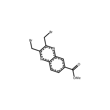 COC(=O)c1ccc2nc(CBr)c(CBr)nc2c1